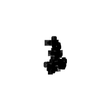 COC1(CN(CC(=O)c2c(Cl)cncc2Cl)C(=O)c2cnn([C@H]3CC[C@](C)(C(=O)O)CC3)c2C(F)(F)F)CCCC1